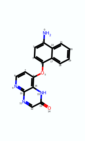 Nc1ccc(Oc2ccnc3ncc(=O)[nH]c23)c2ccccc12